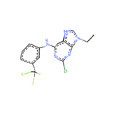 CCn1cnc2c(Nc3cccc(C(F)(F)F)c3)nc(Cl)nc21